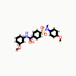 COc1ccc(N(C)S(=O)(=O)c2ccc(C(O)Nc3cccc(OC)c3)cc2)cc1